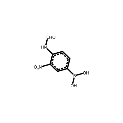 O=CNc1ccc(B(O)O)cc1[N+](=O)[O-]